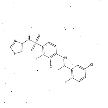 CC(Nc1ccc(S(=O)(=O)Nc2cscn2)c(F)c1Cl)c1cc(Cl)ccc1F